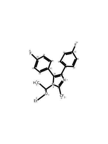 CCOC(C)n1c(C(F)(F)F)nc(-c2ccc(F)cc2)c1-c1ccc(F)cc1